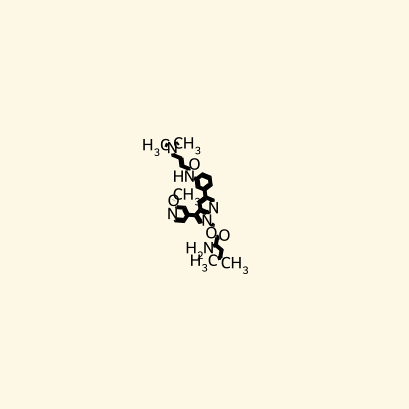 COc1cc(-c2cn(COC(=O)C(N)CC(C)C)c3ncc(-c4cccc(NC(=O)C=CCN(C)C)c4)cc23)ccn1